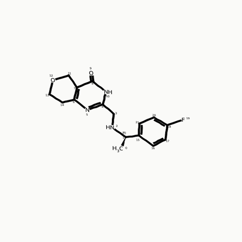 C[C@@H](NCc1nc2c(c(=O)[nH]1)COCC2)c1ccc(F)cc1